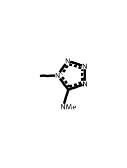 CNc1nnnn1C